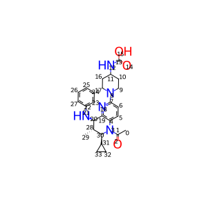 CC(=O)N1c2ccc(N3CCC(NC(=O)O)CC3)nc2[C@H](Nc2ccccc2)[C@@H](C)[C@@H]1C1CC1